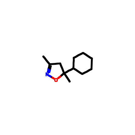 CC1=NOC(C)(C2CCCCC2)C1